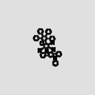 N#Cc1c(-n2c3ccccc3c3cc4c(cc32)c2ccccc2n4-c2ccccc2)c(C#N)c2oc3c(-c4ccccc4)c(-c4ccccc4)c(-c4ccccc4)c(-c4ccccc4)c3c2c1C#N